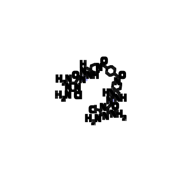 Nc1nc(N)c(C(=O)/N=C2\NCC3(CCN(C(=O)C4CCC(C(=O)N5CCC6(CC5)CN/C(=N\C(=O)c5nc(Cl)c(N)nc5N)N6)CC4)CC3)N2)nc1Cl